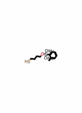 CO[Si](OC)(OCCCCS)c1ccccc1C